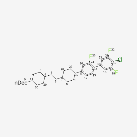 CCCCCCCCCCC1CCC(CCC2CCC(c3ccc(-c4cc(F)c(Cl)c(F)c4)c(F)c3)CC2)CC1